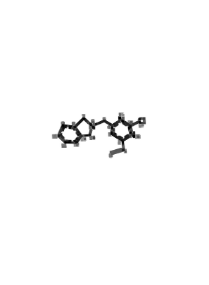 C=Cc1cc(CN2Cc3ccccc3C2)nc(Cl)n1